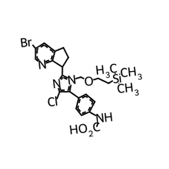 C[Si](C)(C)CCOCn1c(C2CCc3cc(Br)cnc32)nc(Cl)c1-c1ccc(NC(=O)O)cc1